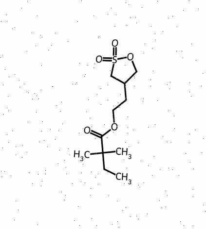 CCC(C)(C)C(=O)OCCC1COS(=O)(=O)C1